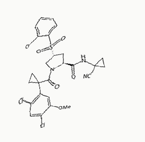 COc1cc(C2(C(=O)N3C[C@H](S(=O)(=O)c4ccccc4Cl)C[C@H]3C(=O)NC3(C#N)CC3)CC2)c(Cl)cc1Cl